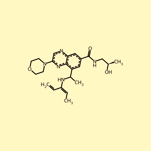 C=C/C(=C\C)NC(C)c1cc(C(=O)NC[C@@H](C)O)cc2ncc(N3CCOCC3)nc12